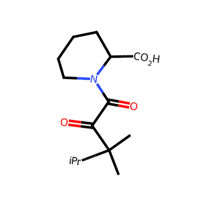 CC(C)C(C)(C)C(=O)C(=O)N1CCCCC1C(=O)O